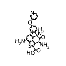 Nc1ccc2c3c(c(C(=O)O)sc13)C(N)C(=O)C2(N)c1ccc(Oc2cccnc2)cn1